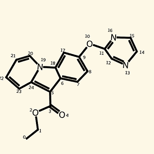 CCOC(=O)c1c2ccc(Oc3cnccn3)cc2n2ccccc12